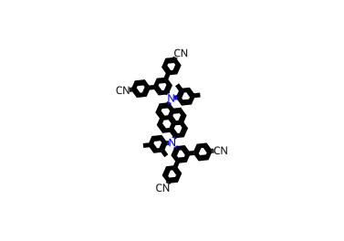 [C-]#[N+]c1ccc(-c2cc(-c3ccc(C#N)cc3)cc(N(c3ccc(C)cc3C)c3ccc4ccc5c(N(c6cc(-c7ccc(C#N)cc7)cc(-c7ccc([N+]#[C-])cc7)c6)c6ccc(C)cc6C)ccc6ccc3c4c65)c2)cc1